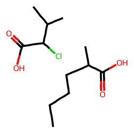 CC(C)C(Cl)C(=O)O.CCCCC(C)C(=O)O